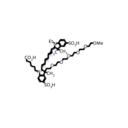 CCN1/C(=C/C=C/C=C/C=C/C2=[N+](CCCCCC(=O)O)c3ccc(S(=O)(=O)O)cc3C2(C)CCOCCOCCOCCOCCOCCOC)C(C)(C)c2cc(S(=O)(=O)O)ccc21